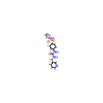 CCC(C)CNS(=O)(=O)c1ccc(NC(=O)NCc2cccnc2)cc1